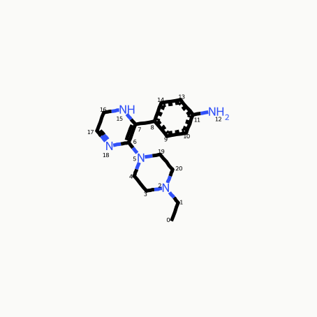 CCN1CCN(C2=C(c3ccc(N)cc3)NCC=N2)CC1